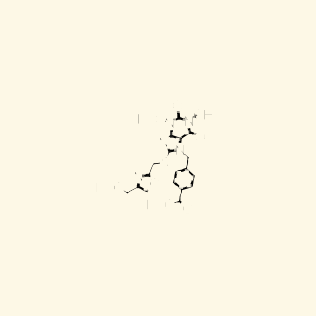 CCc1coc(CSc2nc3c(c(=O)n(C)c(=O)n3C)n2Cc2ccc(C(C)=O)cc2)n1